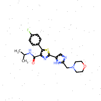 CC(C)NC(=O)c1nc(-c2cnc(CN3CCOCC3)[nH]2)sc1-c1ccc(F)cc1